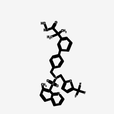 Cc1ccc2cccnc2c1S(=O)(=O)N(Cc1ccc(-c2cccc(C(C)(C)C(=O)NO)c2)cc1)Cc1ccc(C(F)(F)F)o1